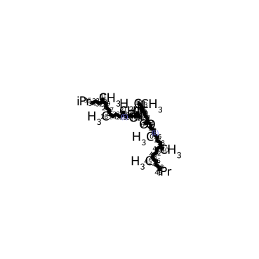 C/C(=C\COC(=O)CN(CCN(C)C)CC(=O)OC/C=C(\C)CCCC(C)CCCC(C)CCCC(C)C)CCCC(C)CCCC(C)CCCC(C)C